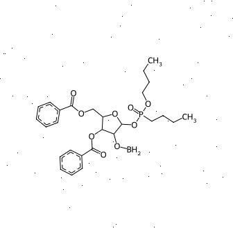 BOC1C(OP(=O)(CCCC)OCCCC)OC(COC(=O)c2ccccc2)C1OC(=O)c1ccccc1